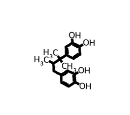 CC(Cc1ccc(O)c(O)c1)C(C)(C)c1ccc(O)c(O)c1